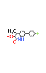 Cc1c(O)c(=O)[nH]c2cc(-c3ccc(F)cc3)ccc12